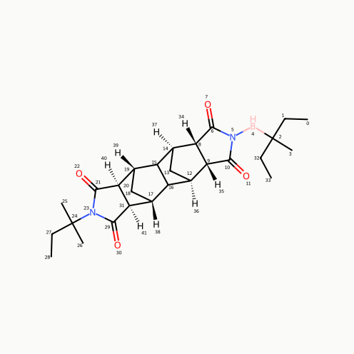 CCC(C)(BN1C(=O)[C@@H]2[C@H](C1=O)[C@@H]1C[C@H]2C2C1[C@H]1C[C@@H]2[C@@H]2C(=O)N(C(C)(C)CC)C(=O)[C@@H]21)CC